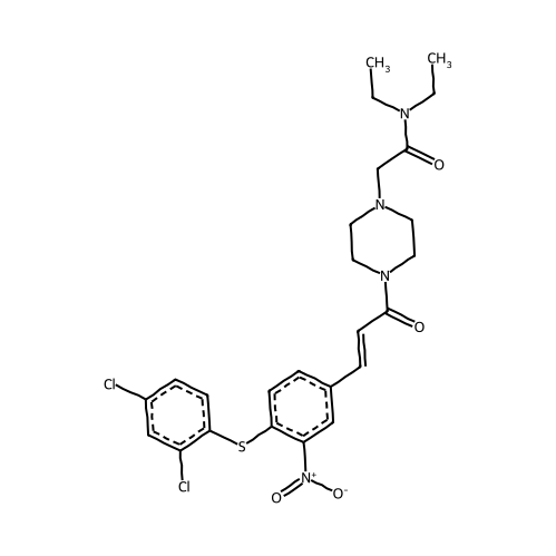 CCN(CC)C(=O)CN1CCN(C(=O)C=Cc2ccc(Sc3ccc(Cl)cc3Cl)c([N+](=O)[O-])c2)CC1